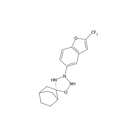 FC(F)(F)c1cc2cc(N3NO[C@@]4(CC5CCC4CC5)N3)ccc2o1